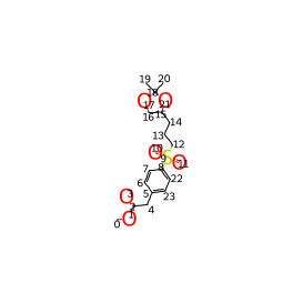 COC(=O)Cc1ccc(S(=O)(=O)CCCC2COC(C)(C)O2)cc1